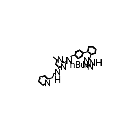 CCCCN(Cc1ccc(-c2ccccc2-c2nnn[nH]2)cc1)c1nc(C)cc(NCCc2ccccn2)n1